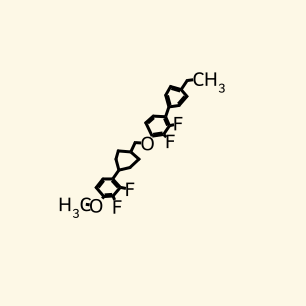 CCc1ccc(-c2ccc(OCC3CCC(c4ccc(OC)c(F)c4F)CC3)c(F)c2F)cc1